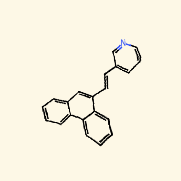 C(=Cc1cc2ccccc2c2ccccc12)c1cccnc1